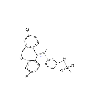 C/C(=C1\c2ccc(Cl)cc2COc2cc(F)ccc21)c1cccc(NS(C)(=O)=O)c1